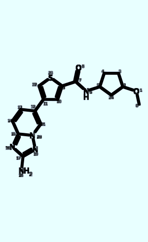 COC1CCC(NC(=O)c2cc(-c3ccc4nc(N)nn4c3)cs2)C1